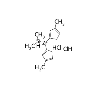 CC1=CC[C]([Zr]([C]2=CC(C)=CC2)[SiH](C)C)=C1.Cl.Cl